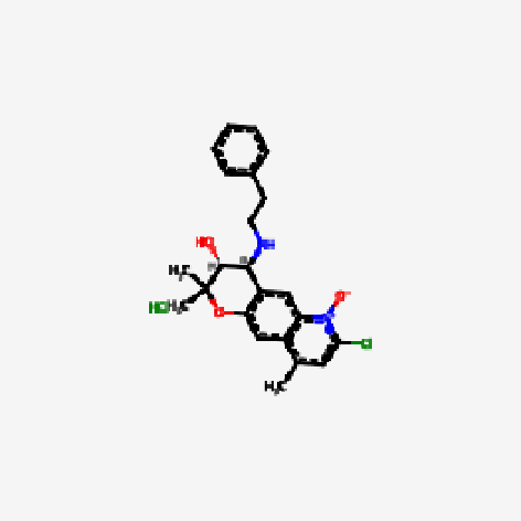 Cc1cc(Cl)[n+]([O-])c2cc3c(cc12)OC(C)(C)[C@H](O)[C@H]3NCCc1ccccc1.Cl